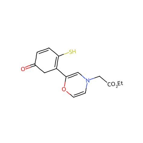 CCOC(=O)CN1C=COC(C2=C(S)C=CC(=O)C2)=C1